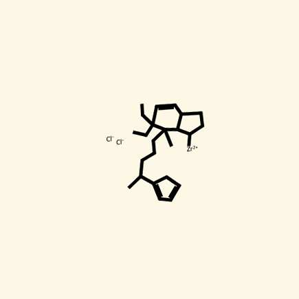 CCC1(CC)C=CC2CC[CH]([Zr+2])C2C1(C)CCCC(C)C1=CC=CC1.[Cl-].[Cl-]